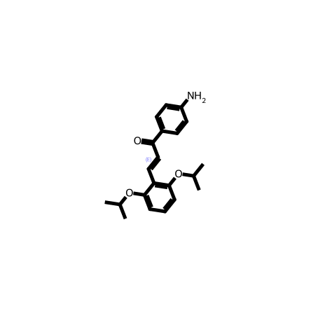 CC(C)Oc1cccc(OC(C)C)c1/C=C/C(=O)c1ccc(N)cc1